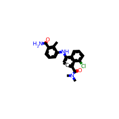 Cc1c(Nc2ccc(C(=O)N(C)C)c3c(Cl)cccc23)cccc1C(N)=O